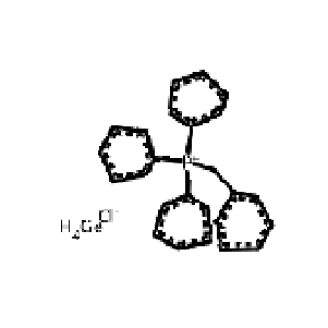 [Cl-].[GeH4].c1ccc(C[P+](c2ccccc2)(c2ccccc2)c2ccccc2)cc1